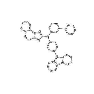 c1ccc(-c2cccc(N(c3ccc(-n4c5ccccc5c5ccccc54)cc3)c3nc4ccc5ccccc5c4o3)c2)cc1